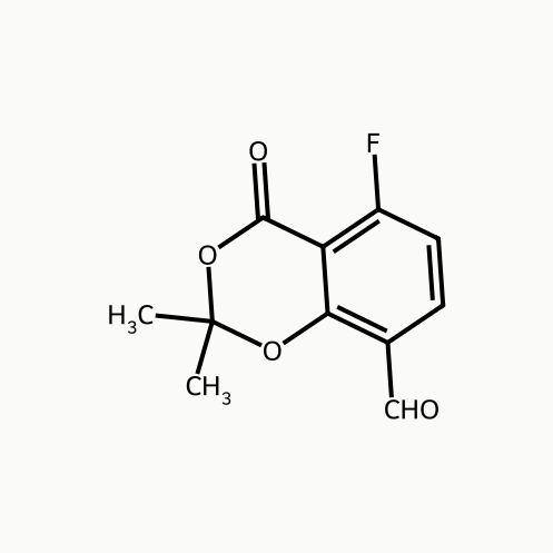 CC1(C)OC(=O)c2c(F)ccc(C=O)c2O1